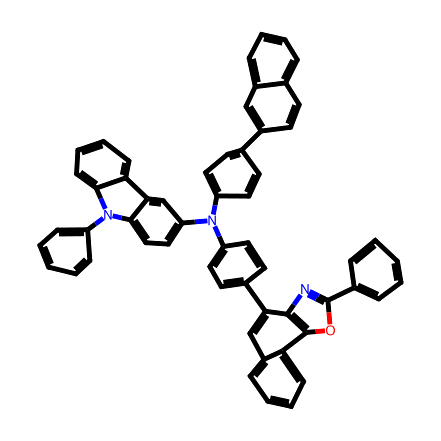 c1ccc(-c2nc3c(-c4ccc(N(c5ccc(-c6ccc7ccccc7c6)cc5)c5ccc6c(c5)c5ccccc5n6-c5ccccc5)cc4)cc4ccccc4c3o2)cc1